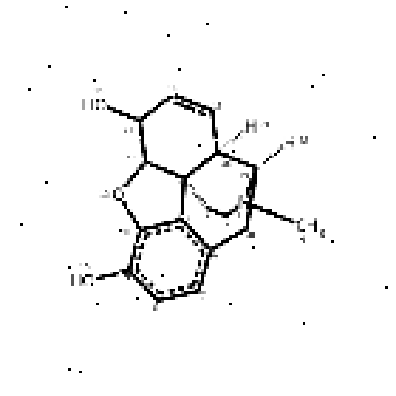 CN1CC[C@]23c4c5ccc(O)c4OC2C(O)C=C[C@H]3[C@H]1C5